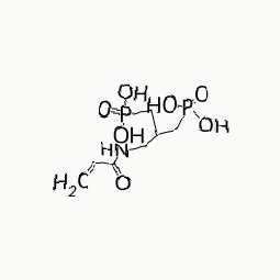 C=CC(=O)NCC(CP(=O)(O)O)CP(=O)(O)O